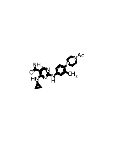 CC(=O)N1CCN(c2ccc(Nc3ncc(C(N)=O)c(NC4CC4)n3)cc2C)CC1